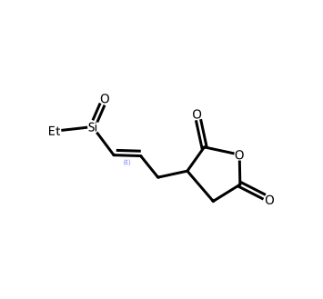 CC[Si](=O)/C=C/CC1CC(=O)OC1=O